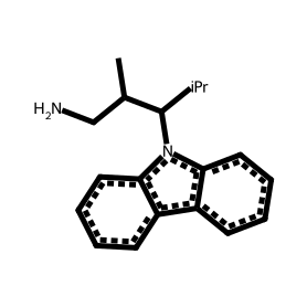 CC(C)C(C(C)CN)n1c2ccccc2c2ccccc21